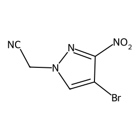 N#CCn1cc(Br)c([N+](=O)[O-])n1